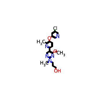 COc1nc(N(C)CCCO)ncc1-c1ccc(Oc2cncc(Cl)c2)c(C)n1